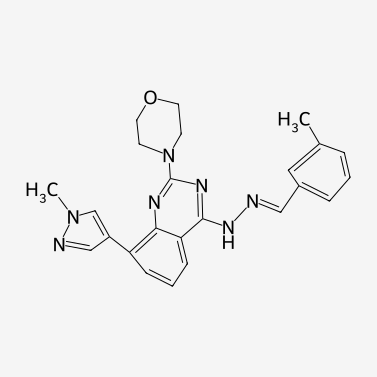 Cc1cccc(C=NNc2nc(N3CCOCC3)nc3c(-c4cnn(C)c4)cccc23)c1